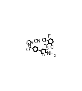 CC(Sc1cc(-c2ccc(C(=O)N3CCC[C@H]3CC#N)cc2)cnc1N)c1c(Cl)ccc(F)c1Cl